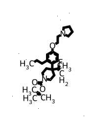 C=C(C)C1(c2c(F)cc(OCCN3CCCC3)cc2CCC)CCN(C(=O)OC(C)(C)C)CC1